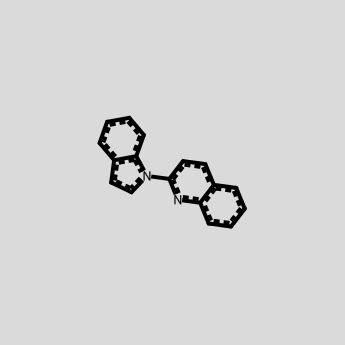 c1ccc2nc(-n3ccc4ccccc43)ccc2c1